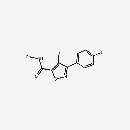 CCNC(=O)c1snc(-c2ccc(I)cc2)c1Cl